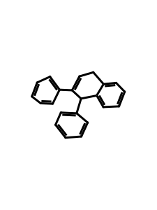 C1=C(c2ccccc2)C(c2ccccc2)c2ccccc2C1